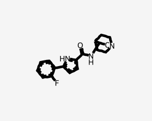 O=C(NC1CN2CCC1CC2)c1ccc(-c2ccccc2F)[nH]1